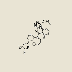 Cc1nnc2nc(N3CCCOc4c(CCC5(C(F)F)CC5)cccc43)c3c(F)cccc3n12